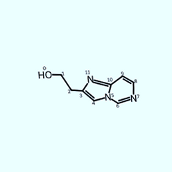 OCCc1cn2cnccc2n1